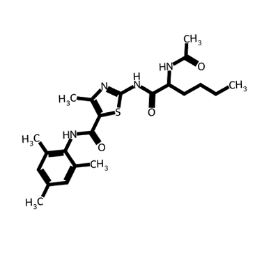 CCCCC(NC(C)=O)C(=O)Nc1nc(C)c(C(=O)Nc2c(C)cc(C)cc2C)s1